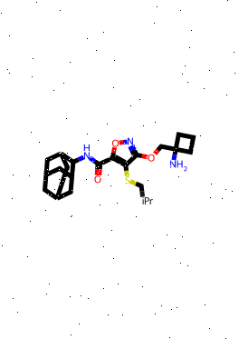 CC(C)CSc1c(OCC2(N)CCC2)noc1C(=O)NC1C2CC3CC(C2)CC1C3